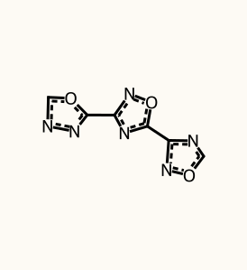 c1nc(-c2nc(-c3nnco3)no2)no1